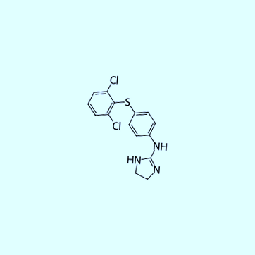 Clc1cccc(Cl)c1Sc1ccc(NC2=NCCN2)cc1